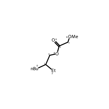 CCCCC(CC)COC(=O)COC